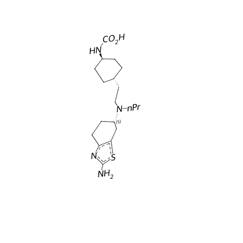 CCCN(CC[C@H]1CC[C@H](NC(=O)O)CC1)[C@H]1CCc2nc(N)sc2C1